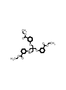 CCOC(=O)c1cccc(OCC(CBr)(COc2cccc(C(=O)OCC)c2)COc2cccc(C(=O)OCC)c2)c1